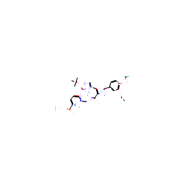 CCOc1cc(-c2nc(C(=O)NCc3cccc(C(=O)O)n3)c(C(C)NC(=O)OC(C)(C)C)o2)ccc1OC(F)F